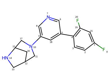 Fc1ccc(-c2cncc(N3CC4CNC(C4)C3)c2)c(F)c1